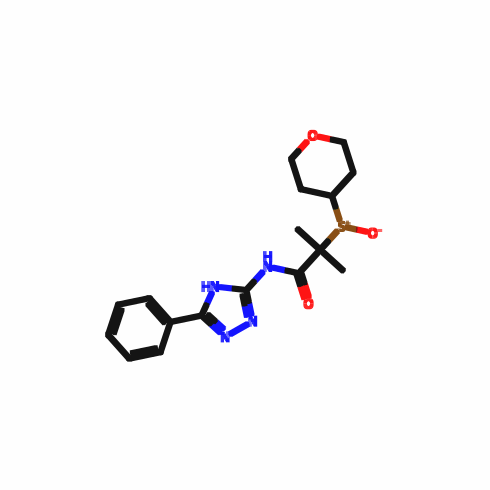 CC(C)(C(=O)Nc1nnc(-c2ccccc2)[nH]1)[S+]([O-])C1CCOCC1